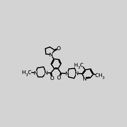 Cc1cnc(N2CCN(C(=O)c3ccc(N4CCCC4=O)cc3C(=O)N3CCN(C)CC3)CC2)c(C)c1